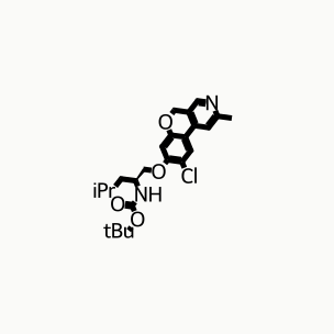 Cc1cc2c(cn1)COc1cc(OC[C@H](CC(C)C)NC(=O)OC(C)(C)C)c(Cl)cc1-2